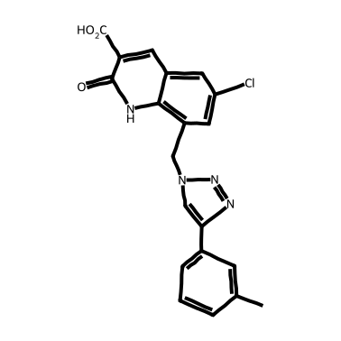 Cc1cccc(-c2cn(Cc3cc(Cl)cc4cc(C(=O)O)c(=O)[nH]c34)nn2)c1